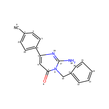 N#Cc1ccc(-c2cc(=O)n(Cc3ccccc3)c(N)n2)cc1